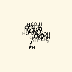 C#CCCCNC(=O)C1CC(CC)C(O[C@@H]2OC(C)[C@@H](O)C(O)C2O)[C@H](O[C@@H]2OC3[C@H](O)C3(O)CC(O[C@H](C(=O)O)C3C4CCCC[C@H]43)C2OC(=O)c2ccccc2)C1